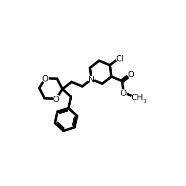 COC(=O)C1CN(CCC2(Cc3ccccc3)COCCO2)CCC1Cl